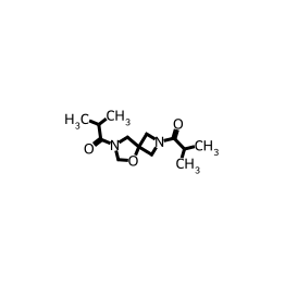 CC(C)C(=O)N1COC2(C1)CN(C(=O)C(C)C)C2